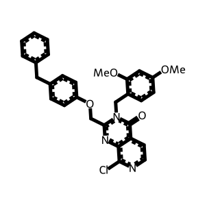 COc1ccc(Cn2c(COc3ccc(Cc4ccccc4)cc3)nc3c(Cl)nccc3c2=O)c(OC)c1